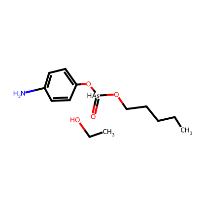 CCCCCO[AsH](=O)Oc1ccc(N)cc1.CCO